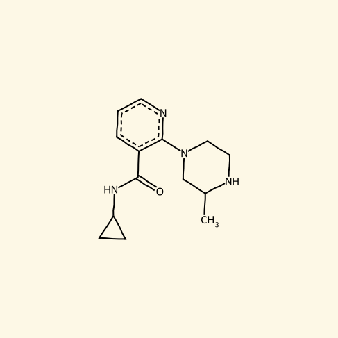 CC1CN(c2ncccc2C(=O)NC2CC2)CCN1